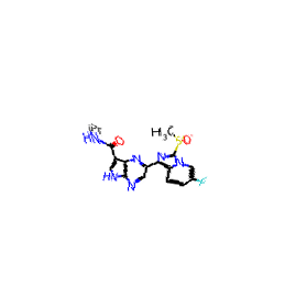 CC(C)NC(=O)c1c[nH]c2ncc(-c3nc([S+](C)[O-])n4cc(F)ccc34)nc12